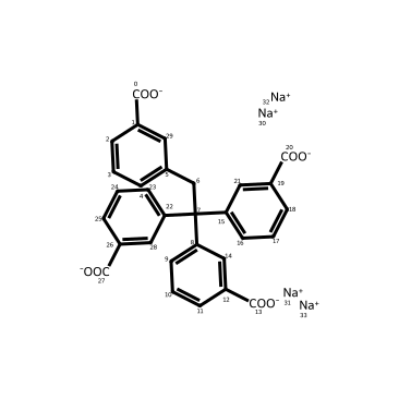 O=C([O-])c1cccc(CC(c2cccc(C(=O)[O-])c2)(c2cccc(C(=O)[O-])c2)c2cccc(C(=O)[O-])c2)c1.[Na+].[Na+].[Na+].[Na+]